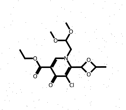 CCOC(=O)c1cn(CC(OC)OC)c(C2OC(C)O2)c(Cl)c1=O